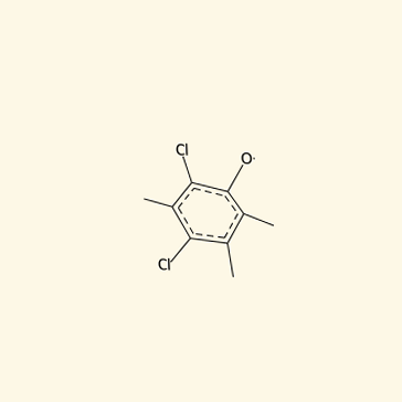 Cc1c(C)c(Cl)c(C)c(Cl)c1[O]